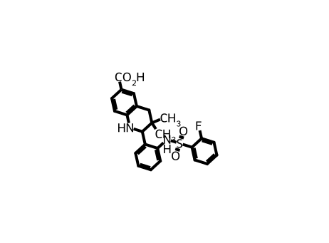 CC1(C)Cc2cc(C(=O)O)ccc2NC1c1ccccc1NS(=O)(=O)c1ccccc1F